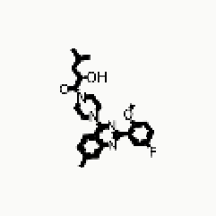 COc1ccc(F)cc1-c1nc(N2CCN(C(=O)[C@H](O)CC(C)C)CC2)c2ccc(C)cc2n1